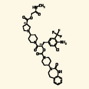 CNC(=O)COC(=O)[C@@H]1CCN(C2CCN(C(=O)[C@@H](Cc3cc(Cl)c(N)c(C(F)(F)F)c3)OC(=O)N3CCC(N4CCc5ccccc5NC4=O)CC3)CC2)C1